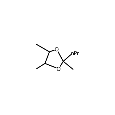 CCCC1(C)OC(C)C(C)O1